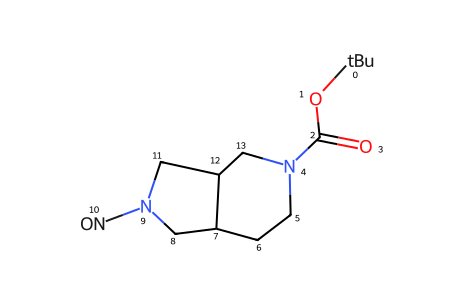 CC(C)(C)OC(=O)N1CCC2CN(N=O)CC2C1